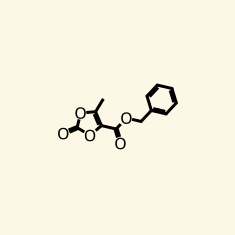 Cc1oc(=O)oc1C(=O)OCc1ccccc1